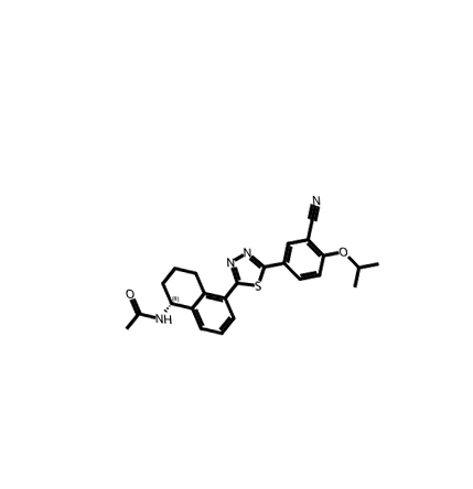 CC(=O)N[C@@H]1CCCc2c(-c3nnc(-c4ccc(OC(C)C)c(C#N)c4)s3)cccc21